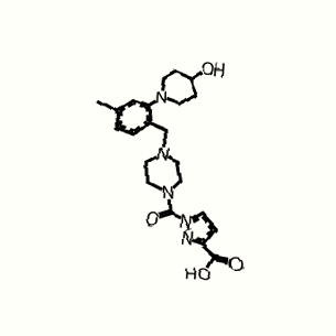 Cc1ccc(CN2CCN(C(=O)n3ccc(C(=O)O)n3)CC2)c(N2CCC(O)CC2)c1